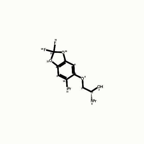 CCC[C@@H](O)COc1cc2c(cc1C(C)C)OC(F)(F)O2